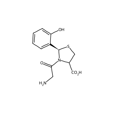 NCC(=O)N1C(C(=O)O)CS[C@@H]1c1ccccc1O